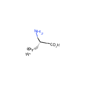 CC(C)[C@H](N)C(=O)O.[H+]